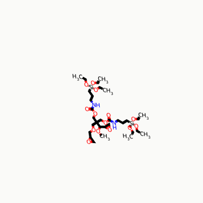 CCO[Si](CCCNC(=O)OCC(COCC1CO1)(COC(=O)NCCC[Si](OCC)(OCC)OCC)C(OC)C1CO1)(OCC)OCC